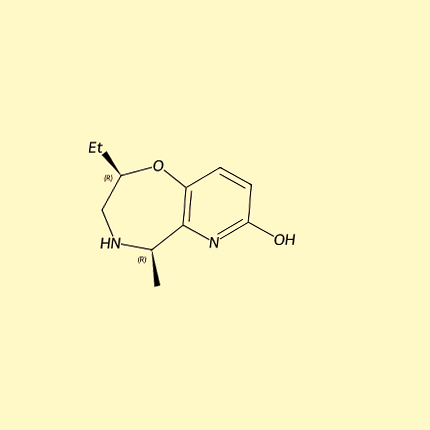 CC[C@@H]1CN[C@H](C)c2nc(O)ccc2O1